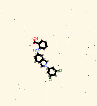 O=C(O)c1ccccc1Nc1ccc2c(c1)CN(c1cc(Cl)cc(Cl)c1)C2